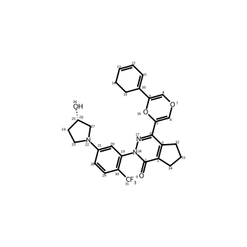 O=c1c2c(c(C3=COC=C(C4=CC=CCC4)O3)nn1-c1cc(N3CC[C@H](O)C3)ccc1C(F)(F)F)CCC2